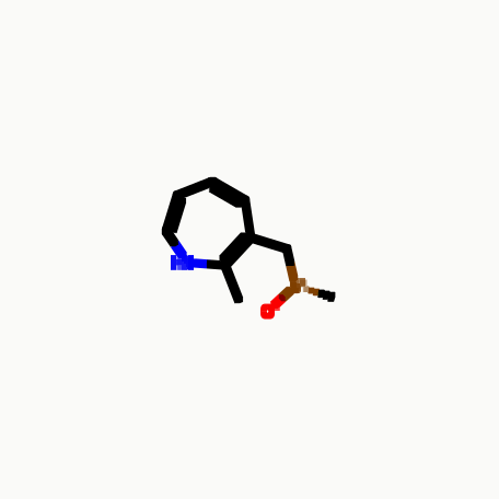 CC1=C(C[S@+](C)[O-])C=CC=CN1